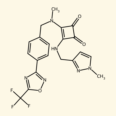 CN(Cc1ccc(-c2noc(C(F)(F)F)n2)cc1)c1c(NCc2ccn(C)n2)c(=O)c1=O